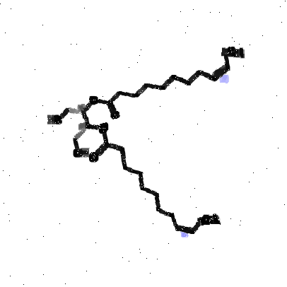 CCCCCCCC/C=C\CCCCCCCC(=O)O[C@@H](CO)[C@@H](CO)OC(=O)CCCCCCC/C=C\CCCCCCCC